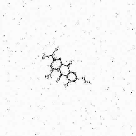 COc1cc(O)c2c(c1)C(=O)c1cc(C(Br)Br)cc(O)c1C2=O